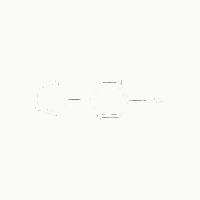 COc1cnc(-c2cnon2)nn1